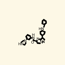 O=C(Nc1cccc(N2CCNCC2)c1)c1ccn2ncc(-c3ccc(NCc4ccccc4)cc3)c2n1